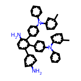 Cc1cccc(N(c2ccccc2)c2ccc(-c3c(N)ccc(-c4ccc(N)cc4)c3-c3ccc(N(c4ccccc4)c4cccc(C)c4)cc3)cc2)c1